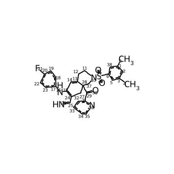 Cc1cc(C)cc(S(=O)(=O)N2CCC3=CC(Nc4ccc(F)cc4)=C(C=N)CC3(C(=O)c3ccccn3)C2)c1